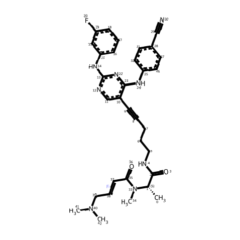 C[C@@H](C(=O)NCCCC#Cc1cnc(Nc2cccc(F)c2)nc1Nc1ccc(C#N)cc1)N(C)C(=O)/C=C/CN(C)C